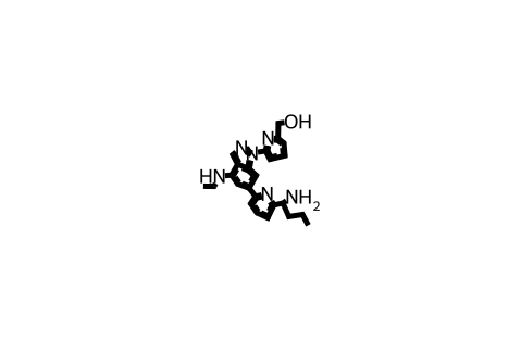 CCCC(N)c1cccc(-c2cc(NCC)c3cnn(-c4cccc(CO)n4)c3c2)n1